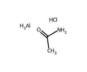 CC(N)=O.Cl.[AlH3]